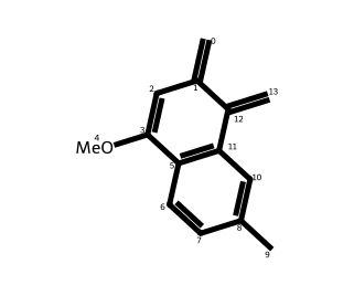 C=c1cc(OC)c2ccc(C)cc2c1=C